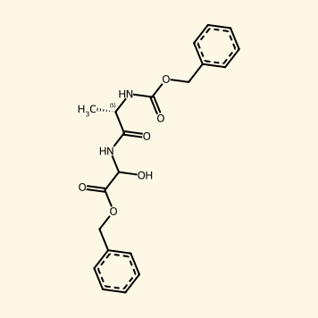 C[C@H](NC(=O)OCc1ccccc1)C(=O)NC(O)C(=O)OCc1ccccc1